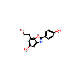 Oc1ccc(-c2nc3cc(O)cc(CCBr)c3o2)cc1